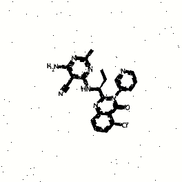 CC[C@H](Nc1nc(C)nc(N)c1C#N)c1nc2cccc(Cl)c2c(=O)n1-c1cccnc1